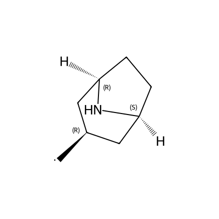 [CH2][C@H]1C[C@H]2CC[C@@H](C1)N2